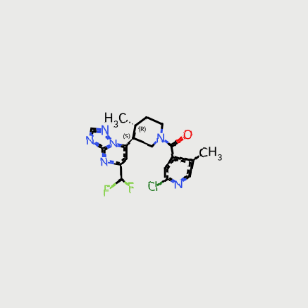 Cc1cnc(Cl)cc1C(=O)N1CC[C@@H](C)[C@H](c2cc(C(F)F)nc3ncnn23)C1